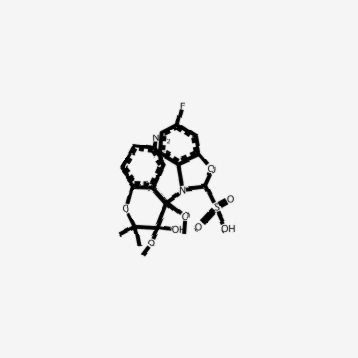 COC1(N2c3ccc(F)cc3OC2S(=O)(=O)O)c2cc(N)ccc2OC(C)(C)C1(O)OC